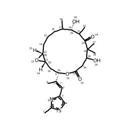 C/C(=C\c1csc(C)n1)[C@@H]1C[C@@H]2O[C@@H]2CCCC(C)[C@H](O)C(C)C(=O)C(C)(C)C(O)CC(=O)O1